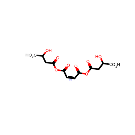 O=C(/C=C\C(=O)OC(=O)CC(O)C(=O)O)OC(=O)CC(O)C(=O)O